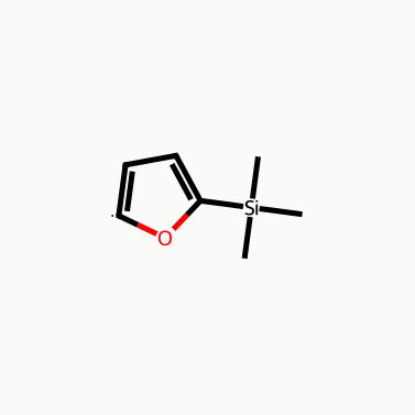 C[Si](C)(C)c1cc[c]o1